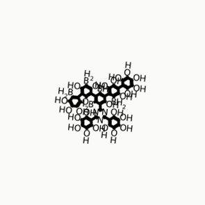 Bc1c(-c2c(O)c(B)c(O)c3c2oc2c(O)c(O)c(O)c(B)c23)c(B)c(-c2c(B)c(O)c(-c3c(O)c(O)c(O)c(O)c3O)c(O)c2O)c(O)c1-c1nc(-c2c(O)c(O)c(O)c(O)c2O)nc(-c2c(O)c(O)c(O)c(O)c2O)n1